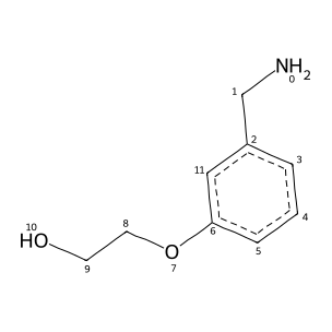 NCc1cccc(OCCO)c1